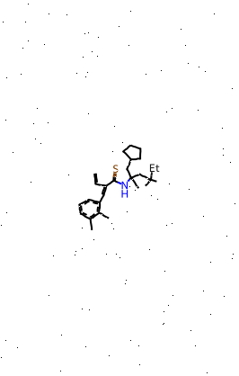 C=C/C(=C\c1cccc(C)c1C)C(=S)NC(C)(CC1CCCC1)CC(C)(C)CC